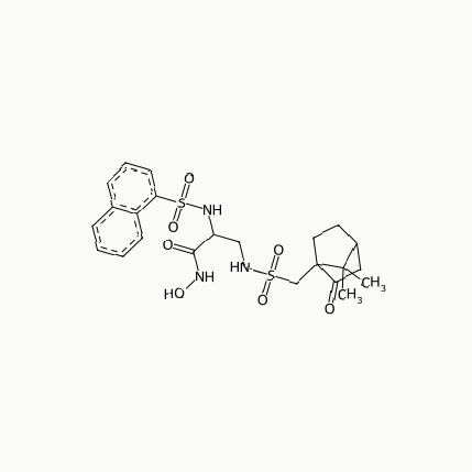 CC1(C)C2CCC1(CS(=O)(=O)NCC(NS(=O)(=O)c1cccc3ccccc13)C(=O)NO)C(=O)C2